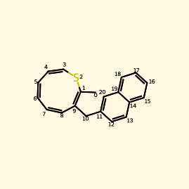 Cc1sccccccc1Cc1ccc2ccccc2c1